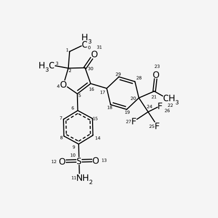 CCC1(C)OC(c2ccc(S(N)(=O)=O)cc2)=C(C2C=CC(C(C)=O)(C(F)(F)F)C=C2)C1=O